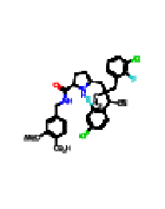 COc1cc(CNC(=O)[C@H]2CC[C@@H](CC(C)(Cc3cccc(Cl)c3F)C(C#N)c3ccc(Cl)cc3F)N2)ccc1C(=O)O